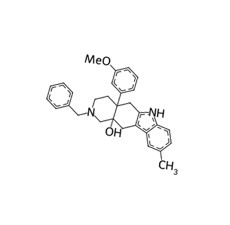 COc1cccc(C23CCN(Cc4ccccc4)CC2(O)Cc2c([nH]c4ccc(C)cc24)C3)c1